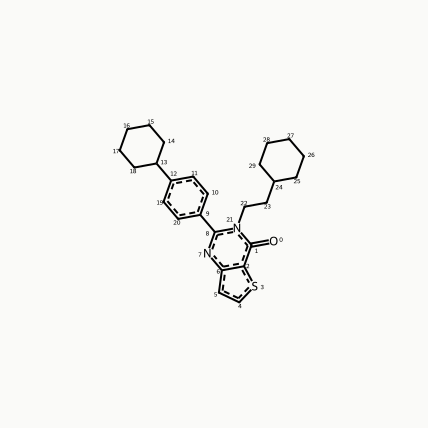 O=c1c2sccc2nc(-c2ccc(C3CCCCC3)cc2)n1CCC1CCCCC1